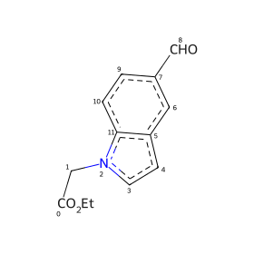 CCOC(=O)Cn1ccc2cc(C=O)ccc21